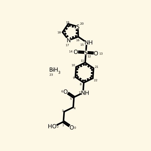 O=C(O)CCC(=O)Nc1ccc(S(=O)(=O)Nc2nccs2)cc1.[BiH3]